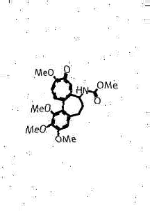 COC(=O)NC1CCc2cc(OC)c(OC)c(OC)c2-c2ccc(OC)c(=O)cc21